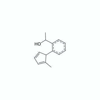 CC1=CC=CC1c1ccccc1C(C)O